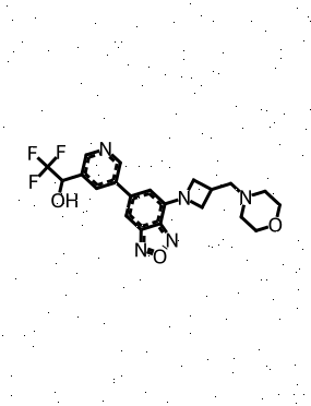 OC(c1cncc(-c2cc(N3CC(CN4CCOCC4)C3)c3nonc3c2)c1)C(F)(F)F